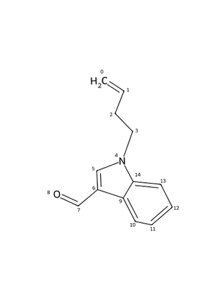 C=CCCn1cc(C=O)c2ccccc21